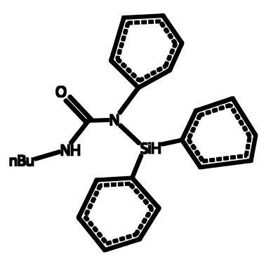 CCCCNC(=O)N(c1ccccc1)[SiH](c1ccccc1)c1ccccc1